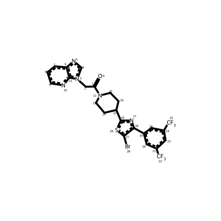 O=C(Cn1cnc2cccnc21)N1CCC(c2nc(-c3cc(C(F)(F)F)cc(C(F)(F)F)c3)c(Br)s2)CC1